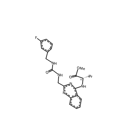 COC(=O)[C@@H](Nc1nc(CNC(=O)NCc2cccc(F)c2)nc2ccccc12)C(C)C